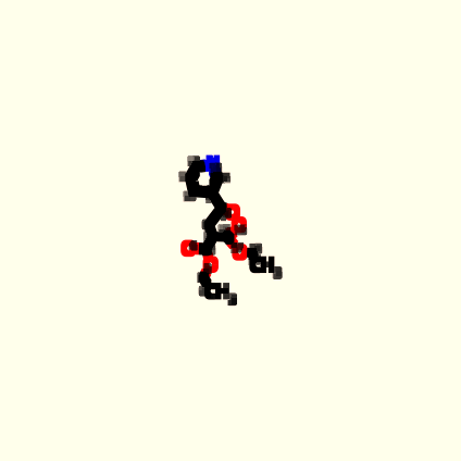 CCOC(=O)C(CC(=O)c1cccnc1)C(=O)OCC